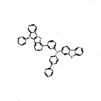 c1ccc(-c2ccc(N(c3cccc(-c4cccc5c4sc4c6ccccc6n(-c6ccccc6)c54)c3)c3ccc4c(c3)oc3ccccc34)cc2)cc1